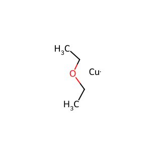 CCOCC.[Cu]